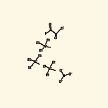 CC[N+](C)(CC)CC.CC[N+](C)(CC)CC.CC[N+](C)(CC)CC.O=C(F)C(=O)Cl.[O-]B([O-])[O-]